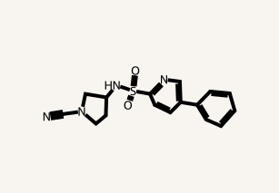 N#CN1CCC(NS(=O)(=O)c2ccc(-c3ccccc3)cn2)C1